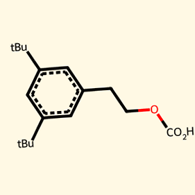 CC(C)(C)c1cc(CCOC(=O)O)cc(C(C)(C)C)c1